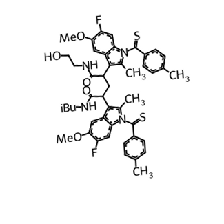 CCC(C)NC(=O)C(CC(C(=O)NCCO)c1c(C)n(C(=S)c2ccc(C)cc2)c2cc(F)c(OC)cc12)c1c(C)n(C(=S)c2ccc(C)cc2)c2cc(F)c(OC)cc12